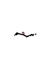 C[N+](C)(C)CCCCCCCCCCCCCCCC[N+](C)(C)C.[Cl-].[Cl-]